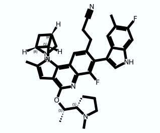 Cc1cc2c(-c3c(CCC#N)cc4c(nc(O[C@@H](C)[C@@H]5CCCN5C)c5cc(C)n([C@H]6[C@H]7CN[C@@H]6C7)c54)c3F)c[nH]c2cc1F